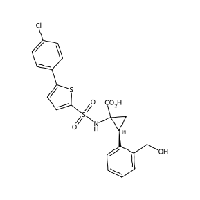 O=C(O)C1(NS(=O)(=O)c2ccc(-c3ccc(Cl)cc3)s2)C[C@H]1c1ccccc1CO